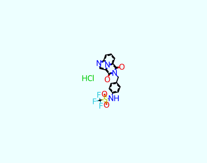 Cl.O=c1c2cccc3ncc(c(=O)n1Cc1ccc(NS(=O)(=O)C(F)(F)F)cc1)n32